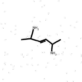 CC(N)C=CC(C)N